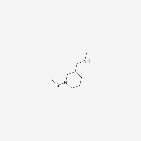 CNCC1CCCN(SC)C1